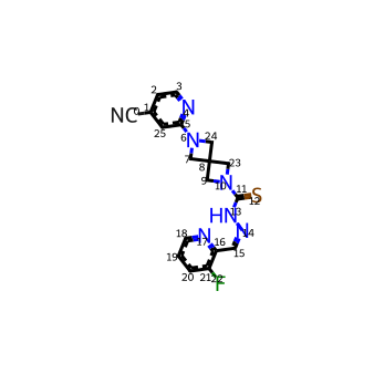 N#Cc1ccnc(N2CC3(CN(C(=S)N/N=C\c4ncccc4F)C3)C2)c1